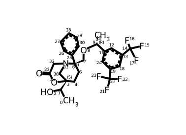 CC(O)[C@@]12CC[C@@](CO[C@H](C)c3cc(C(F)(F)F)cc(C(F)(F)F)c3)(c3ccccc3)N(CC(=O)O1)C2